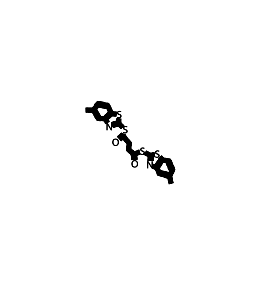 Cc1ccc2sc(SC(=O)CCC(=O)Sc3nc4cc(C)ccc4s3)nc2c1